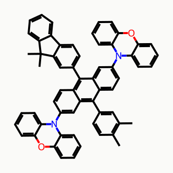 Cc1ccc(-c2c3ccc(N4c5ccccc5Oc5ccccc54)cc3c(-c3ccc4c(c3)C(C)(C)c3ccccc3-4)c3ccc(N4c5ccccc5Oc5ccccc54)cc23)cc1C